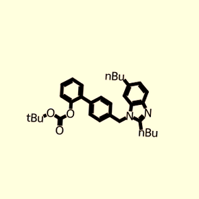 CCCCc1ccc2nc(CCCC)n(Cc3ccc(-c4ccccc4OC(=O)OC(C)(C)C)cc3)c2c1